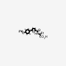 CC[C@H](NC(=O)c1ccc(-c2ccc(OC(C)C)cc2)o1)C(=O)O